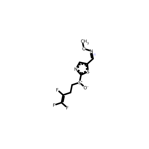 CO/N=C\c1cnc([S+]([O-])CCC(F)=C(F)F)s1